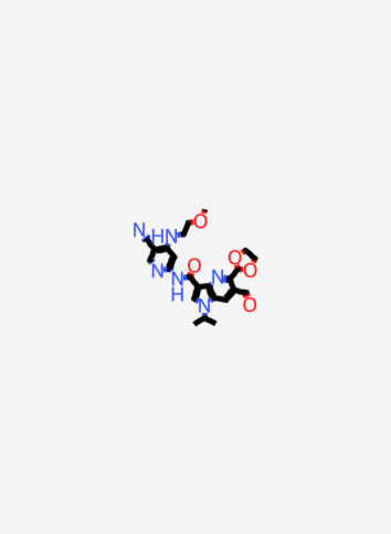 COCCNc1cc(NC(=O)c2cn(C(C)C)c3cc(C=O)c(C4OCCO4)nc23)ncc1C#N